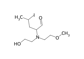 COCCN(CCO)C(C=O)CC(C)I